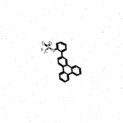 O=S(=O)(Oc1ccccc1-c1ccc2c3ccccc3c3ccccc3c2c1)C(F)(F)F